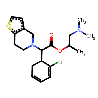 CC(CN(C)C)OC(=O)C(C1CC=CC=C1Cl)N1CCc2sccc2C1